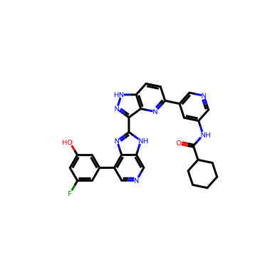 O=C(Nc1cncc(-c2ccc3[nH]nc(-c4nc5c(-c6cc(O)cc(F)c6)cncc5[nH]4)c3n2)c1)C1CCCCC1